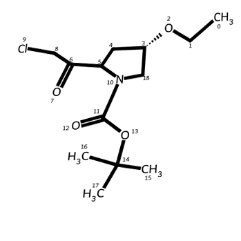 CCO[C@H]1CC(C(=O)CCl)N(C(=O)OC(C)(C)C)C1